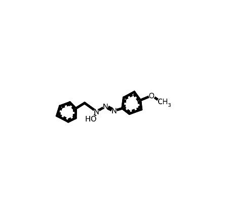 COc1ccc(N=NN(O)Cc2ccccc2)cc1